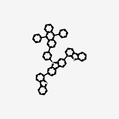 c1ccc(-c2c3ccccc3c(-c3ccccc3)c3cc(-c4cccc(-n5c6cc(-c7cccc8c7sc7ccccc78)ccc6c6ccc(-c7cccc8c7sc7ccccc78)cc65)c4)ccc23)cc1